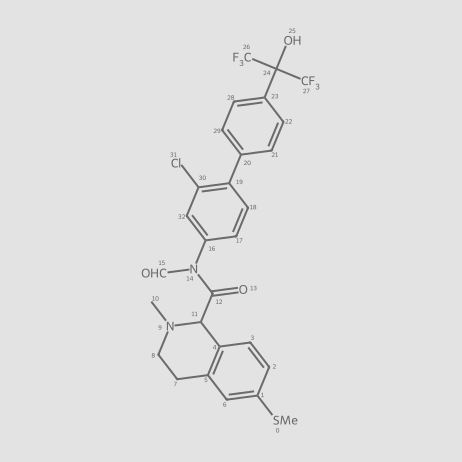 CSc1ccc2c(c1)CCN(C)C2C(=O)N(C=O)c1ccc(-c2ccc(C(O)(C(F)(F)F)C(F)(F)F)cc2)c(Cl)c1